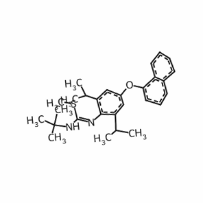 CSC(=Nc1c(C(C)C)cc(Oc2cccc3ccccc23)cc1C(C)C)NC(C)(C)C